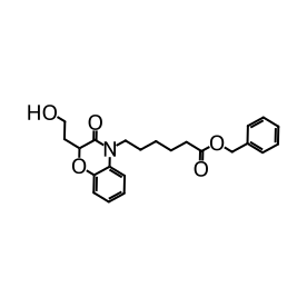 O=C(CCCCCN1C(=O)C(CCO)Oc2ccccc21)OCc1ccccc1